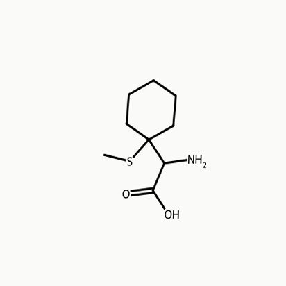 CSC1(C(N)C(=O)O)CCCCC1